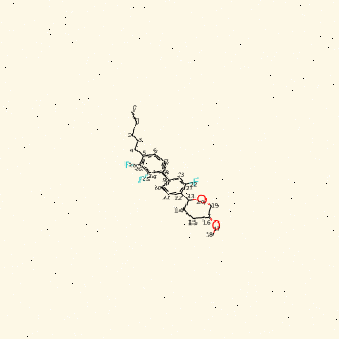 CCCCCc1ccc(-c2ccc(C3CCC(OC)CO3)c(F)c2)c(F)c1F